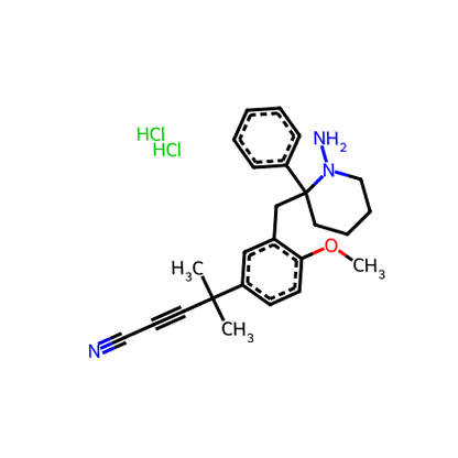 COc1ccc(C(C)(C)C#CC#N)cc1CC1(c2ccccc2)CCCCN1N.Cl.Cl